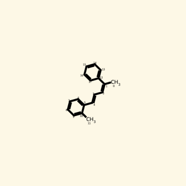 CC(=CC=Cc1ccccc1C)c1ccccc1